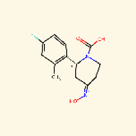 Cc1cc(F)ccc1[C@H]1C/C(=N\O)CCN1C(=O)O